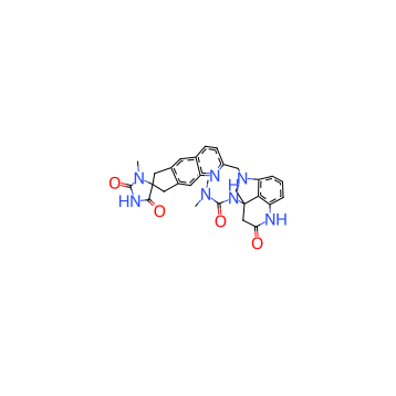 CN(C)C(=O)NC12CC(=O)Nc3cccc(c31)N(Cc1ccc3cc4c(cc3n1)CC1(C4)C(=O)NC(=O)N1C)C2